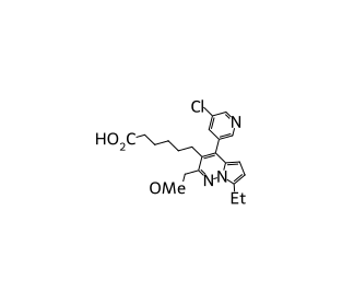 CCc1ccc2c(-c3cncc(Cl)c3)c(CCCCCC(=O)O)c(COC)nn12